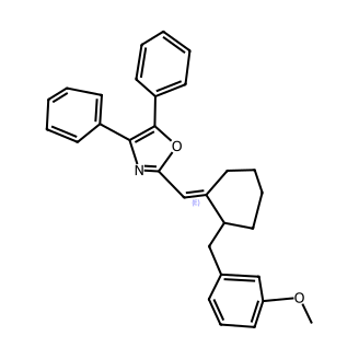 COc1cccc(CC2CCCC/C2=C\c2nc(-c3ccccc3)c(-c3ccccc3)o2)c1